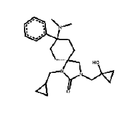 CN(C)[C@]1(c2ccccc2)CC[C@]2(CC1)CN(CC1(O)CC1)C(=O)N2CC1CC1